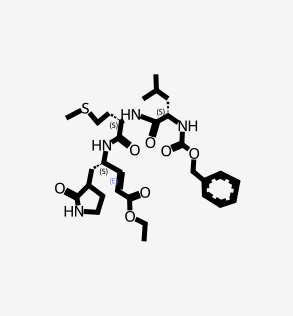 CCOC(=O)/C=C/[C@H](CC1CCNC1=O)NC(=O)[C@H](CCSC)NC(=O)[C@H](CC(C)C)NC(=O)OCc1ccccc1